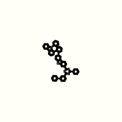 c1ccc(-c2cccc(-c3nc(-c4ccccc4)nc(-c4ccc5c(c4)oc4ccc(-c6ccccc6-c6cccc7c8ccccc8n(-c8ccccc8)c67)cc45)n3)c2)cc1